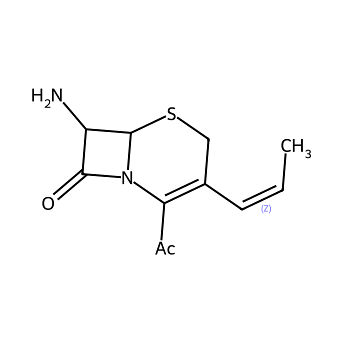 C/C=C\C1=C(C(C)=O)N2C(=O)C(N)C2SC1